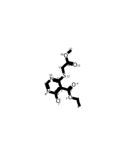 CCOC(=O)c1c(Cl)ncnc1SCC(=O)OC